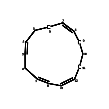 C1=CCC=CCCC=CCCCC=C1